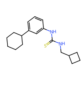 S=C(NCC1CCC1)Nc1cccc(C2CCCCC2)c1